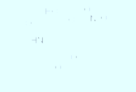 CCOC(=O)C1=C(C)NC(C=O)=C(C(=O)O)C1c1cccc([N+](=O)[O-])c1